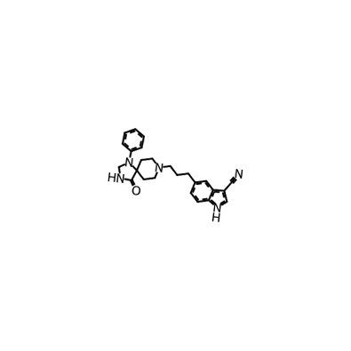 N#Cc1c[nH]c2ccc(CCCN3CCC4(CC3)C(=O)NCN4c3ccccc3)cc12